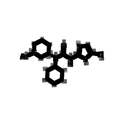 CC(=O)N1CCC[C@H](N(C(=O)Nc2ncc(Cl)s2)C2CCCCC2)C1